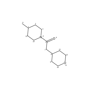 CC1CCN(C(=O)CC2CCOCC2)CC1